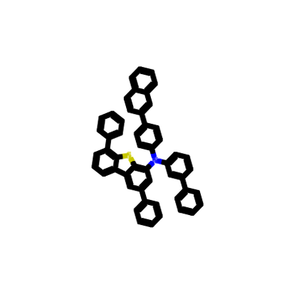 c1ccc(-c2cccc(N(c3ccc(-c4ccc5ccccc5c4)cc3)c3cc(-c4ccccc4)cc4c3sc3c(-c5ccccc5)cccc34)c2)cc1